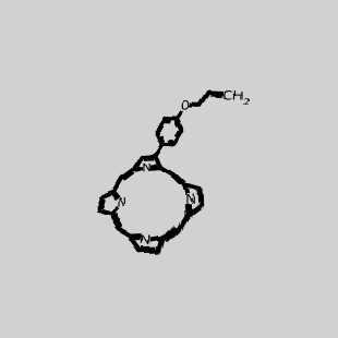 C=CCOc1ccc(C2=CC3=CC4=NC(=CC5=NC(=CC6=NC(=CC2=N3)C=C6)C=C5)C=C4)cc1